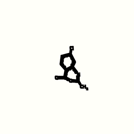 Cc1nc2cc(Cl)ccc2c(=O)o1